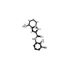 O=C(Nc1cccc(Br)c1Cl)c1cc2n(n1)CCCC2O